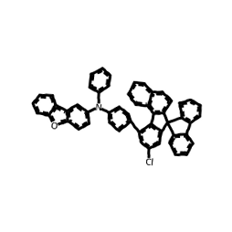 Clc1cc(-c2ccc(N(c3ccccc3)c3ccc4oc5ccccc5c4c3)cc2)c2c(c1)C1(c3ccccc3-c3ccccc31)c1ccc3ccccc3c1-2